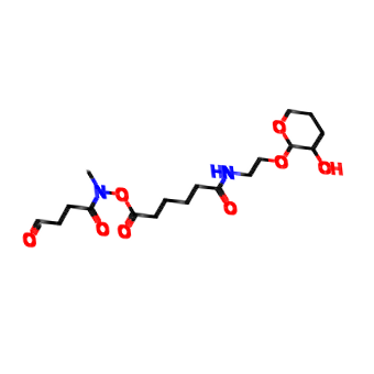 CN(OC(=O)CCCCC(=O)NCCOC1OCCCC1O)C(=O)CCC=O